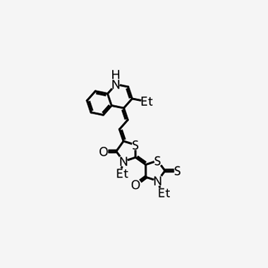 CCC1=CNc2ccccc2C1=CC=c1sc(=C2SC(=S)N(CC)C2=O)n(CC)c1=O